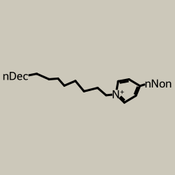 CCCCCCCCCCCCCCCCCC[n+]1ccc(CCCCCCCCC)cc1